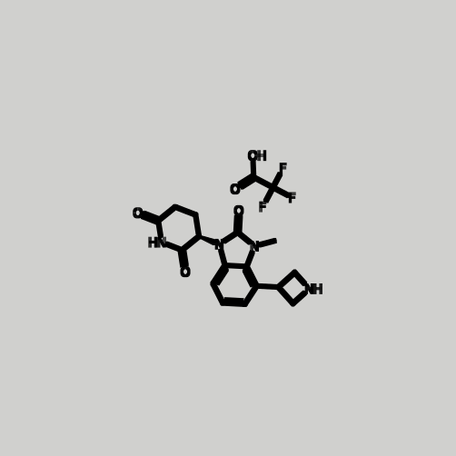 Cn1c(=O)n([C@@H]2CCC(=O)NC2=O)c2cccc(C3CNC3)c21.O=C(O)C(F)(F)F